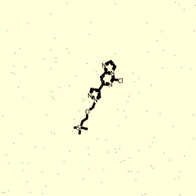 C[Si](C)(C)CCOCn1cc(-c2cc3nccn3c(Cl)n2)cn1